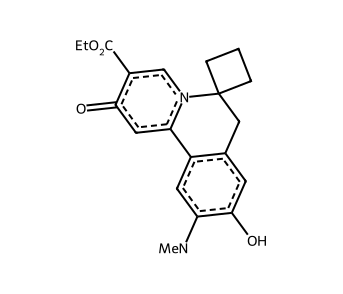 CCOC(=O)c1cn2c(cc1=O)-c1cc(NC)c(O)cc1CC21CCC1